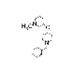 CN1CCCC(OC2=CCN(Cc3ccccc3)CC2)C1